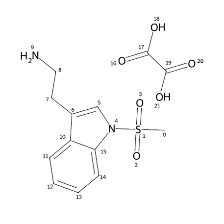 CS(=O)(=O)n1cc(CCN)c2ccccc21.O=C(O)C(=O)O